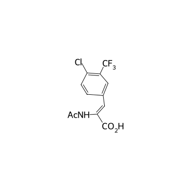 CC(=O)N/C(=C\c1ccc(Cl)c(C(F)(F)F)c1)C(=O)O